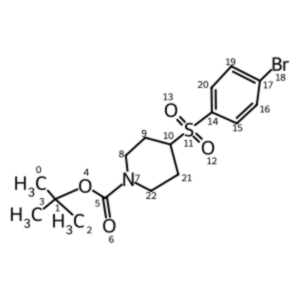 CC(C)(C)OC(=O)N1CCC(S(=O)(=O)c2ccc(Br)cc2)CC1